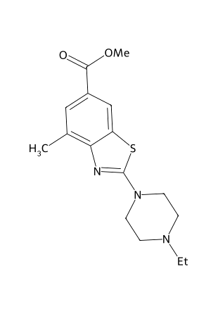 CCN1CCN(c2nc3c(C)cc(C(=O)OC)cc3s2)CC1